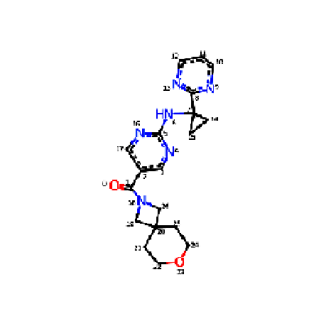 O=C(c1cnc(NC2(c3ncccn3)CC2)nc1)N1CC2(CCOCC2)C1